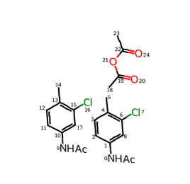 CC(=O)Nc1ccc(C)c(Cl)c1.CC(=O)Nc1ccc(C)c(Cl)c1.CC(=O)OC(C)=O